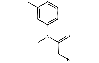 Cc1cccc(N(C)C(=O)CBr)c1